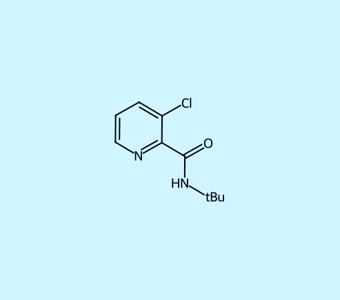 CC(C)(C)NC(=O)c1ncccc1Cl